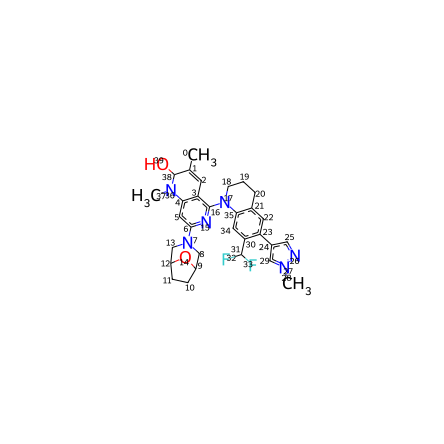 CC1=Cc2c(cc(N3CC4CCC(C3)O4)nc2N2CCCc3cc(-c4cnn(C)c4)c(C(F)F)cc32)N(C)C1O